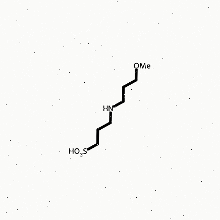 COCCCNCCCS(=O)(=O)O